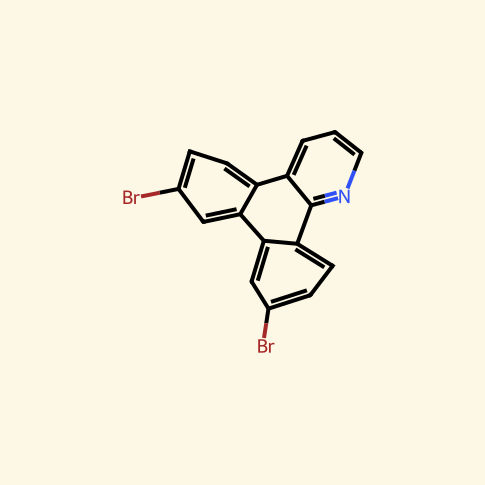 Brc1ccc2c(c1)c1cc(Br)ccc1c1ncccc21